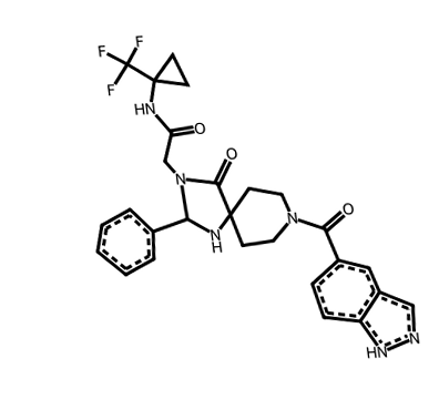 O=C(CN1C(=O)C2(CCN(C(=O)c3ccc4[nH]ncc4c3)CC2)NC1c1ccccc1)NC1(C(F)(F)F)CC1